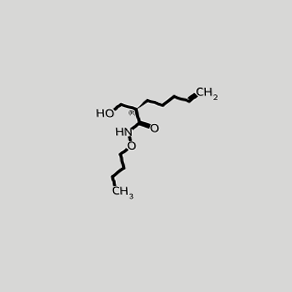 C=CCCC[C@H](CO)C(=O)NOCCCC